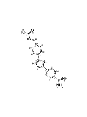 N=C(N)c1ccc(-c2c[nH]c(-c3ccc(/C=C/C(=O)O)cc3)n2)cc1